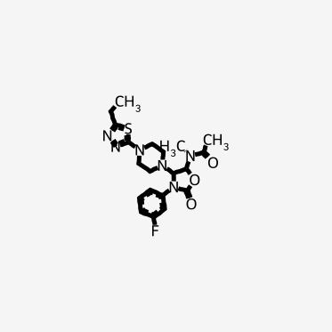 CCc1nnc(N2CCN(C3C(N(C)C(C)=O)OC(=O)N3c3cccc(F)c3)CC2)s1